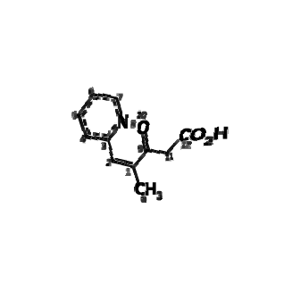 C/C(=C/c1ccccn1)C(=O)CC(=O)O